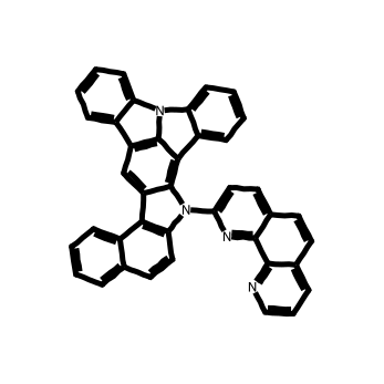 c1ccc2c(c1)ccc1c2c2cc3c4ccccc4n4c5ccccc5c(c2n1-c1ccc2ccc5cccnc5c2n1)c34